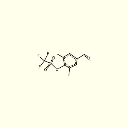 Cc1cc(C=O)cc(C)c1OS(=O)(=O)C(F)(F)F